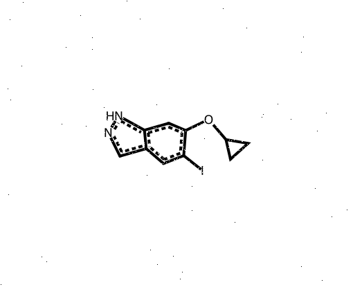 Ic1cc2cn[nH]c2cc1OC1CC1